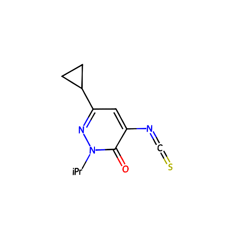 CC(C)n1nc(C2CC2)cc(N=C=S)c1=O